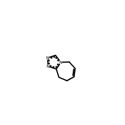 C1=CCn2cnnc2CC1